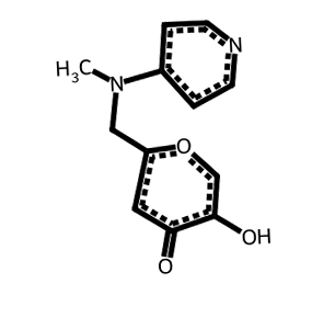 CN(Cc1cc(=O)c(O)co1)c1ccncc1